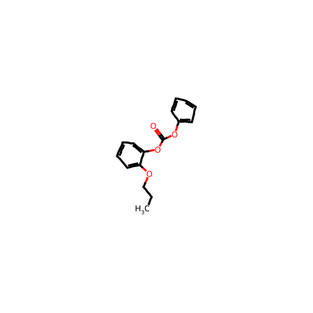 CCCOc1ccccc1OC(=O)Oc1ccccc1